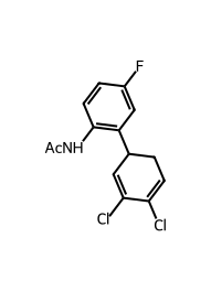 CC(=O)Nc1ccc(F)cc1C1C=C(Cl)C(Cl)=CC1